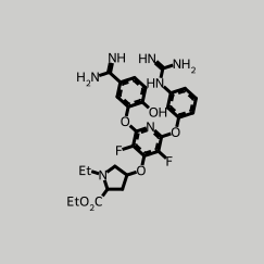 CCOC(=O)C1CC(Oc2c(F)c(Oc3cccc(NC(=N)N)c3)nc(Oc3cc(C(=N)N)ccc3O)c2F)CN1CC